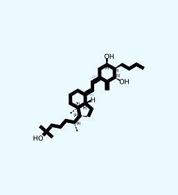 C=C1/C(=C\C=C2/CCC[C@]3(C)[C@@H]([C@H](C)CCCC(C)(C)O)CC[C@@H]23)C[C@@H](O)[C@@H](CCCC)[C@@H]1O